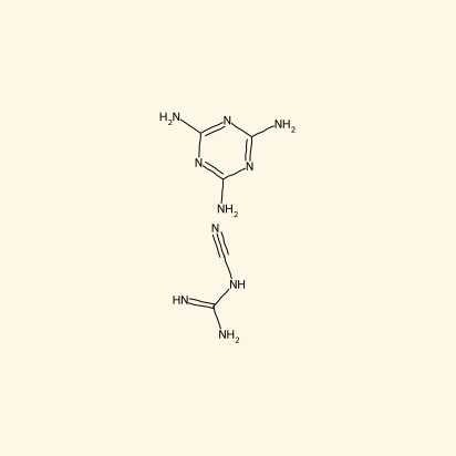 N#CNC(=N)N.Nc1nc(N)nc(N)n1